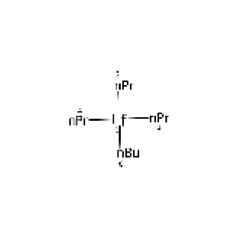 CCC[CH2][Hf]([CH2]CC)([CH2]CC)[CH2]CC